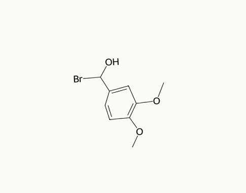 COc1ccc(C(O)Br)cc1OC